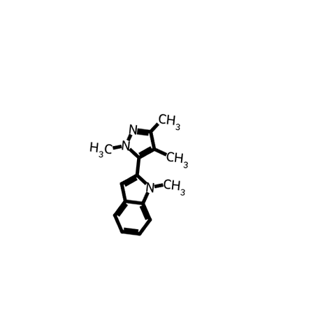 Cc1nn(C)c(-c2cc3ccccc3n2C)c1C